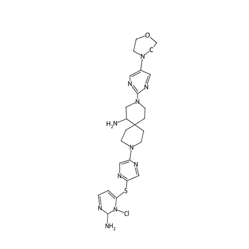 NC1N=CC=C(Sc2cnc(N3CCC4(CC3)CCN(c3ncc(N5CCOCC5)cn3)CC4N)cn2)N1Cl